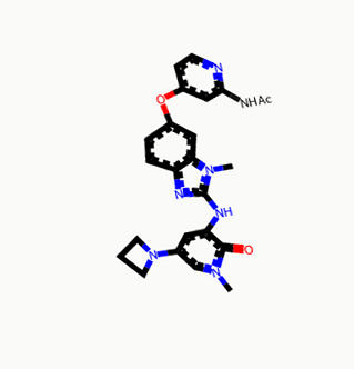 CC(=O)Nc1cc(Oc2ccc3nc(Nc4cc(N5CCC5)cn(C)c4=O)n(C)c3c2)ccn1